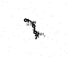 CCc1nc2c(N)nc3cc(OCc4ccc(S(=O)(=O)NCCc5cc6ccccc6[nH]5)cc4)ccc3c2s1